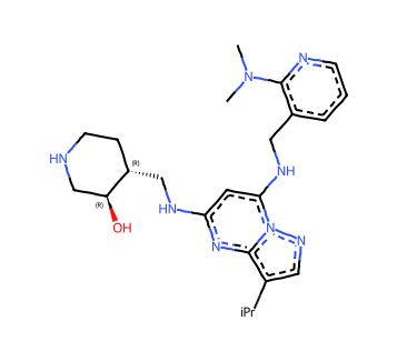 CC(C)c1cnn2c(NCc3cccnc3N(C)C)cc(NC[C@H]3CCNC[C@@H]3O)nc12